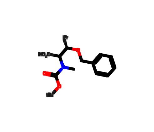 CC(C)[C@@H](OCc1ccccc1)C(C(=O)O)N(C)C(=O)OC(C)(C)C